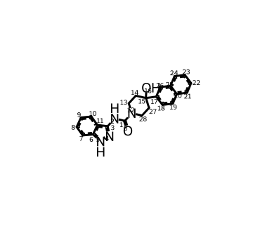 O=C(Nc1n[nH]c2ccccc12)N1CCC(O)(c2ccc3ccccc3c2)CC1